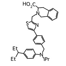 CCC(CC)c1ccc(N(Cc2ccc(-c3csc(CN4Cc5ccccc5CC4C(=O)O)n3)cc2)C(C)C)cc1